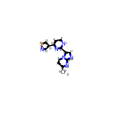 FC(F)(F)c1ccn2c(-c3nccc(-c4cnsc4)n3)cnc2n1